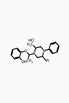 CC(C)C1CN(C(C)Oc2ccccc2O)C(C)CN1c1ccccc1.Cl